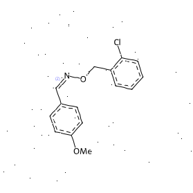 COc1ccc(/[C]=N\OCc2ccccc2Cl)cc1